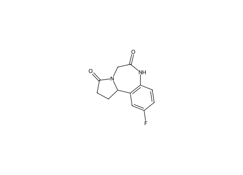 O=C1CN2C(=O)CCC2c2cc(F)ccc2N1